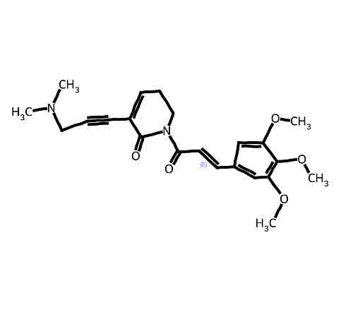 COc1cc(/C=C/C(=O)N2CCC=C(C#CCN(C)C)C2=O)cc(OC)c1OC